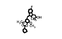 COc1cc(C=C2C(C)=C(CC(=O)O)c3cc(F)ccc32)cc(OC)c1OC(=O)c1ccccc1